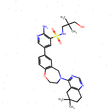 CC(C)(CO)CNS(=O)(=O)c1cc(-c2ccc3c(c2)CN(c2ncnc4c2CC(C)(C)CC4)CCO3)cnc1N